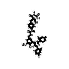 CC1=CCC(c2nc(C3=CC(CCC(=O)N(C)c4ccc(/C=C5\C(=N)NC(=O)NC5=O)cc4)CC(C(C)(C)C)=C3O)nc(-c3ccc(C)cc3C)n2)C(C)=C1